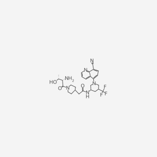 C[C@@H](O)[C@H](N)C(=O)N1CCC(CC(=O)N[C@@H]2CC(C(F)(F)F)CN(c3ccc(C#N)c4ncccc34)C2)CC1